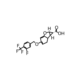 O=C(O)[C@H]1[C@@H]2OC3=CC(OCc4ccc(C(F)(F)F)c(F)c4)=CCC3[C@@H]21